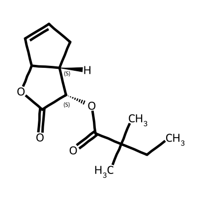 CCC(C)(C)C(=O)O[C@@H]1C(=O)OC2C=CC[C@@H]21